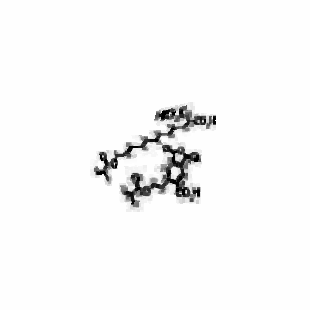 C=C(C)C(=O)OCCCCCCCCCCC(C(=O)O)C(=O)O.C=C(C)C(=O)OCCc1cc2c(cc1C(=O)O)C(=O)OC2=O